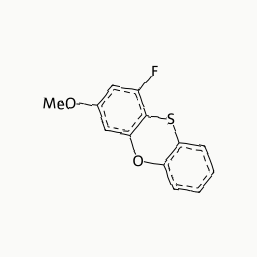 COc1cc(F)c2c(c1)Oc1ccccc1S2